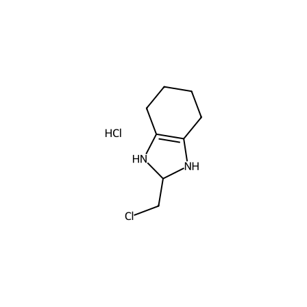 Cl.ClCC1NC2=C(CCCC2)N1